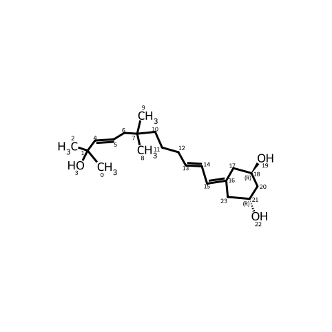 CC(C)(O)C=CCC(C)(C)CCCC=CC=C1C[C@@H](O)C[C@H](O)C1